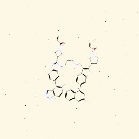 C=CC(=O)N1CCC(c2oc3cc(-c4cc(O)cc5ccccc45)ccc3c2CN(C)CCCn2c(C3CN(C(=O)C=C)C3)nc3ccc(-c4c(C)ccc5[nH]ncc45)cc32)C1